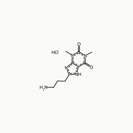 Cl.Cn1c(=O)c2[nH]c(CCCN)nc2n(C)c1=O